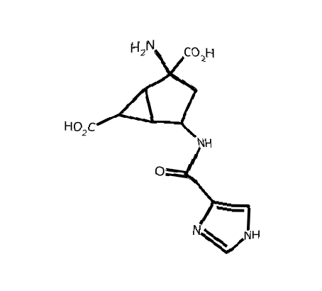 NC1(C(=O)O)CC(NC(=O)c2c[nH]cn2)C2C(C(=O)O)C21